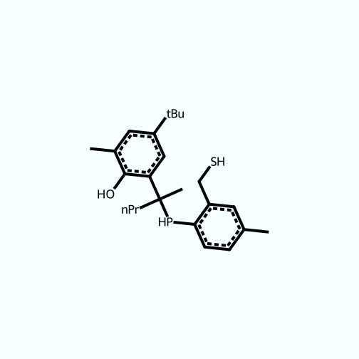 CCCC(C)(Pc1ccc(C)cc1CS)c1cc(C(C)(C)C)cc(C)c1O